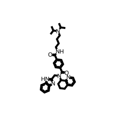 CC(C)N(CCCCNC(=O)c1ccc(C(=O)N(Cc2nc3ccccc3[nH]2)C2CCCc3cccnc32)cc1)C(C)C